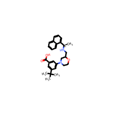 C[C@@H](NCC1CN(c2cc(C(=O)O)cc(C(C)(C)C)c2)CCO1)c1cccc2ccccc12